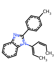 C/C=C\C(=C/C)n1c(-c2ccc(C)cc2)nc2ccccc21